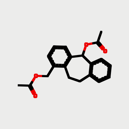 CC(=O)OCc1cccc2c1CCc1ccccc1C2OC(C)=O